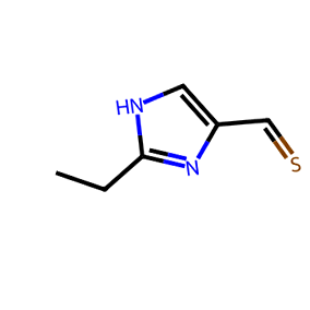 CCc1nc(C=S)c[nH]1